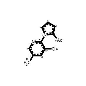 CC(=O)c1cccn1-c1ncc(C(F)(F)F)cc1Cl